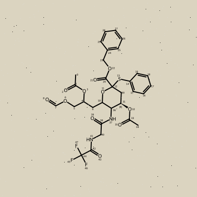 CC(=O)OC(COC=O)CC1OC(Sc2ccccc2)(C(=O)OCc2ccccc2)C[C@@H](OC(C)=O)C1NC(=O)CNC(=O)C(F)(F)F